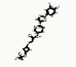 O=C(COC1CC(OC(F)(F)F)C1)N[C@@H]1CC[C@@H](c2cnn(-c3ccc(Cl)c(F)c3)n2)OC1